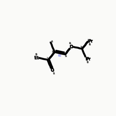 CCC(=O)/C(C)=C/OC(C(C)C)C(C)C